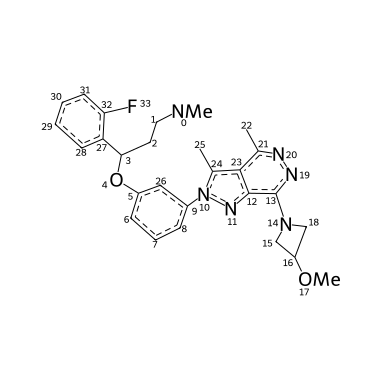 CNCCC(Oc1cccc(-n2nc3c(N4CC(OC)C4)nnc(C)c3c2C)c1)c1ccccc1F